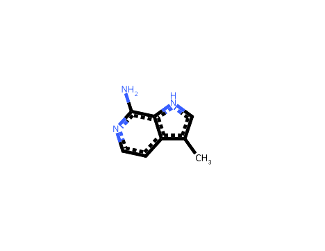 Cc1c[nH]c2c(N)nccc12